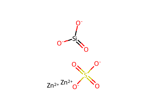 O=S(=O)([O-])[O-].O=[Si]([O-])[O-].[Zn+2].[Zn+2]